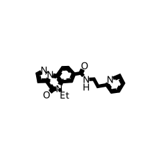 CCn1c(=O)c2ccnn2c2ccc(C(=O)NCCc3ccccn3)cc21